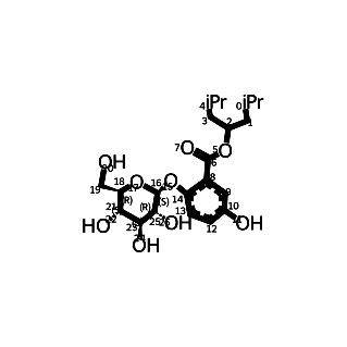 CC(C)CC(CC(C)C)OC(=O)c1cc(O)ccc1O[C@@H]1O[C@H](CO)[C@@H](O)[C@H](O)[C@H]1O